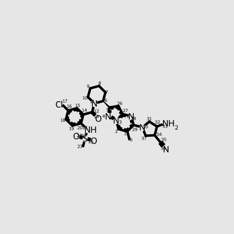 Cc1cn2nc([C@@H]3CCCCN3C(=O)c3cc(Cl)ccc3NS(C)(=O)=O)cc2nc1N1CC(N)C(C#N)C1